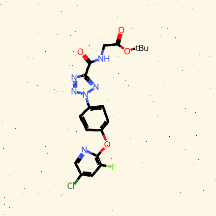 CC(C)(C)OC(=O)CNC(=O)c1nnn(-c2ccc(Oc3ncc(Cl)cc3F)cc2)n1